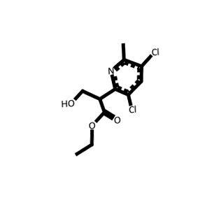 CCOC(=O)C(CO)c1nc(C)c(Cl)cc1Cl